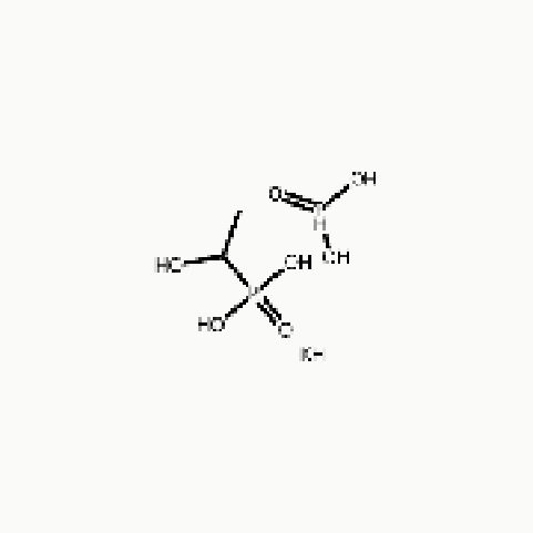 CC(O)P(=O)(O)O.O=[PH](O)O.[KH]